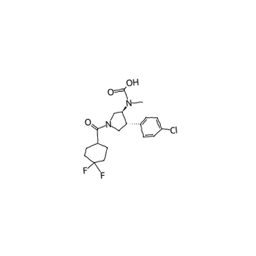 CN(C(=O)O)[C@@H]1CN(C(=O)C2CCC(F)(F)CC2)C[C@H]1c1ccc(Cl)cc1